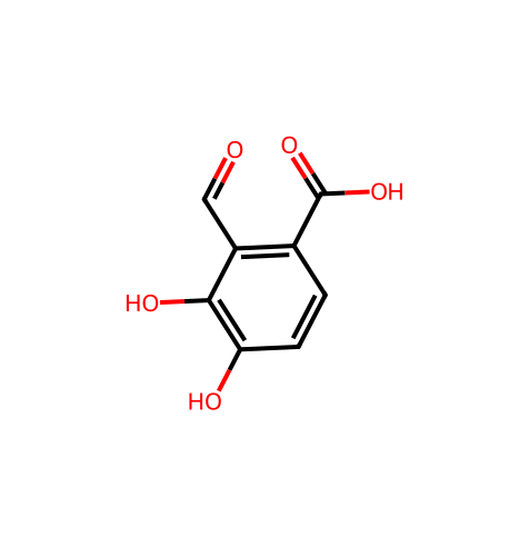 O=Cc1c(C(=O)O)ccc(O)c1O